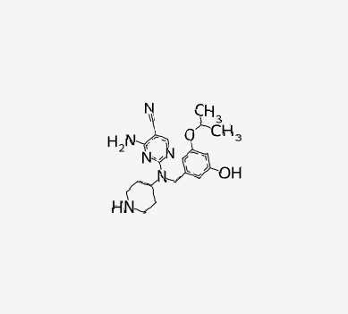 CC(C)Oc1cc(O)cc(CN(c2ncc(C#N)c(N)n2)C2CCNCC2)c1